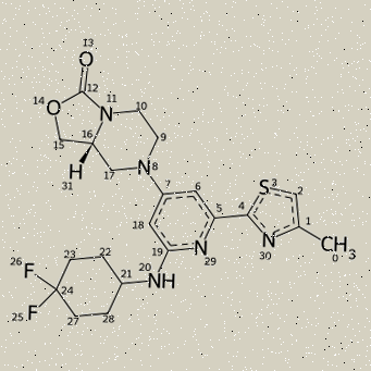 Cc1csc(-c2cc(N3CCN4C(=O)OC[C@H]4C3)cc(NC3CCC(F)(F)CC3)n2)n1